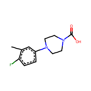 Cc1cc(N2CCN(C(=O)O)CC2)ccc1F